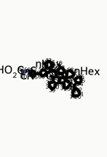 CCCCCCc1ccc(C2(c3ccc(CCCCCC)cc3)c3cc(N(c4ccccc4)c4ccccc4)ccc3-c3c2c2c(c4ccccc34)OC(c3ccccc3)(c3ccc(-c4ccc(/C=C(\C#N)C(=O)O)s4)cc3)C=C2)cc1